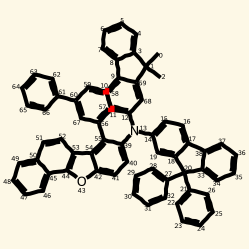 CC1(C)c2ccccc2-c2ccc(N(c3ccc4c(c3)C(c3ccccc3)(c3ccccc3)c3ccccc3-4)c3ccc4oc5c6ccccc6ccc5c4c3-c3cccc(-c4ccccc4)c3)cc21